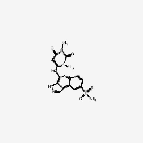 Cn1c(Nc2nc3ccc(S(C)(=O)=O)cc3c3cn[nH]c23)cc(=O)n(C)c1=O